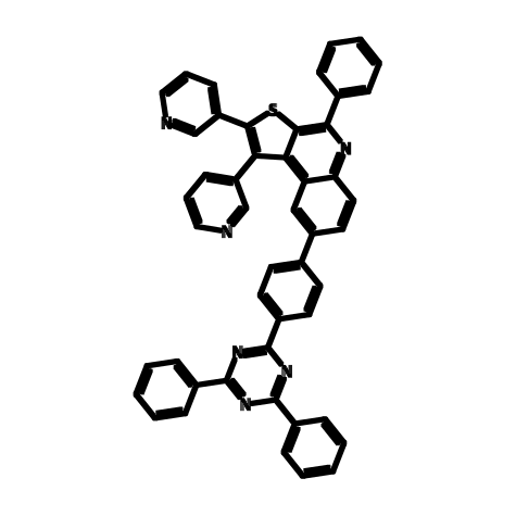 c1ccc(-c2nc(-c3ccccc3)nc(-c3ccc(-c4ccc5nc(-c6ccccc6)c6sc(-c7cccnc7)c(-c7cccnc7)c6c5c4)cc3)n2)cc1